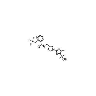 Cc1oc(N2CC3CN(C(=O)c4cccnc4CC(F)(F)F)CC3C2)nc1C(C)(C)O